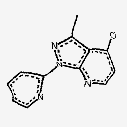 Cc1nn(-c2ccccn2)c2nccc(Cl)c12